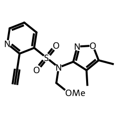 C#Cc1ncccc1S(=O)(=O)N(COC)c1noc(C)c1C